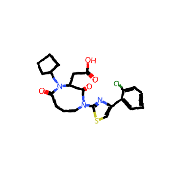 O=C(O)CC1C(=O)N(c2nc(-c3ccccc3Cl)cs2)CCCC(=O)N1C1CCCC1